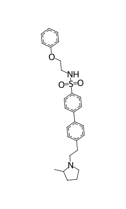 CC1CCCN1CCc1ccc(-c2ccc(S(=O)(=O)NCCOc3ccccc3)cc2)cc1